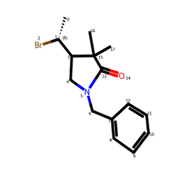 C[C@@H](Br)C1CN(Cc2ccccc2)C(=O)C1(C)C